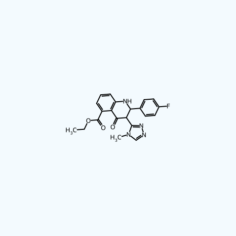 CCOC(=O)c1cccc2c1C(=O)C(c1nncn1C)C(c1ccc(F)cc1)N2